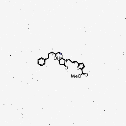 COC(=O)c1ccc(C=CCN2C(=O)CC[C@@H]2/C=C\[C@H](O)[C@@H](C)CCc2ccccc2)s1